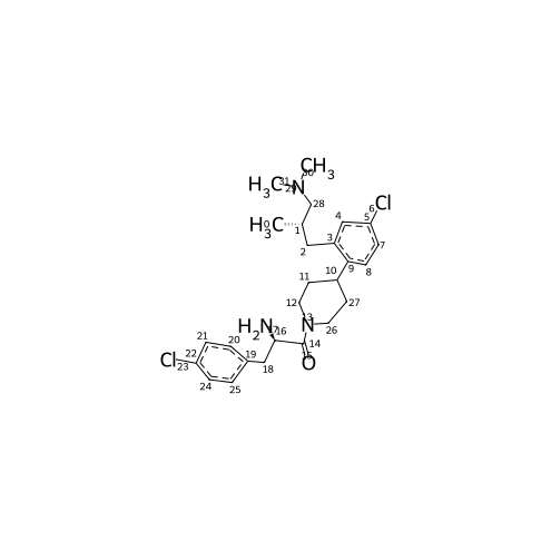 C[C@@H](Cc1cc(Cl)ccc1C1CCN(C(=O)[C@H](N)Cc2ccc(Cl)cc2)CC1)CN(C)C